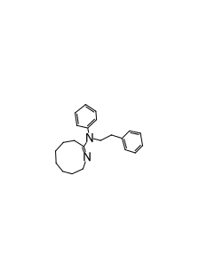 c1ccc(CCN(C2=NCCCCCCC2)c2ccccc2)cc1